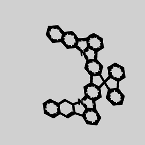 C1=C2c3cccc4c5cc6c(cc5n(c34)C2Cc2ccccc21)-c1cc2c(cc1C61c3ccccc3-c3ccccc31)c1cccc3c4cc5ccccc5cc4n2c13